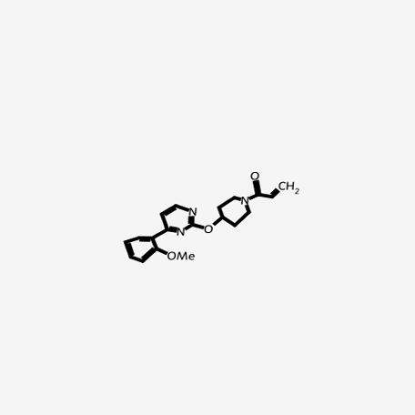 C=CC(=O)N1CCC(Oc2nccc(-c3ccccc3OC)n2)CC1